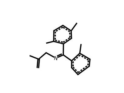 C=C(C)C/N=C(/c1ccccc1C)c1cc(C)ccc1C